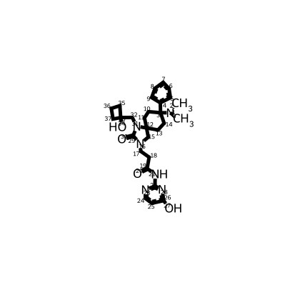 CN(C)C1(c2ccccc2)CCC2(CC1)CN(CCC(=O)Nc1nccc(O)n1)C(=O)N2CC1(O)CCC1